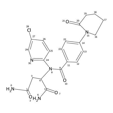 NC(=O)CC(C(N)=O)N(C(=O)c1ccc(N2CCCCC2=O)cc1)c1ccc(Cl)cn1